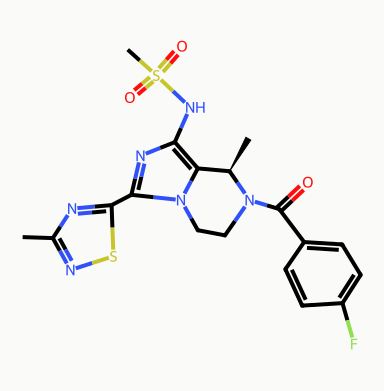 Cc1nsc(-c2nc(NS(C)(=O)=O)c3n2CCN(C(=O)c2ccc(F)cc2)[C@@H]3C)n1